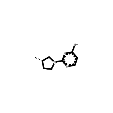 CC(C)c1ccnc(N2CC[C@H](C)C2)n1